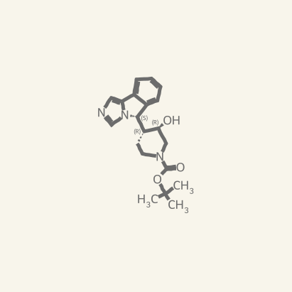 CC(C)(C)OC(=O)N1CC[C@H]([C@H]2c3ccccc3-c3cncn32)[C@@H](O)C1